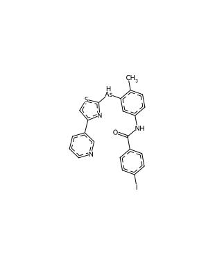 Cc1ccc(NC(=O)c2ccc(I)cc2)cc1[AsH]c1nc(-c2cccnc2)cs1